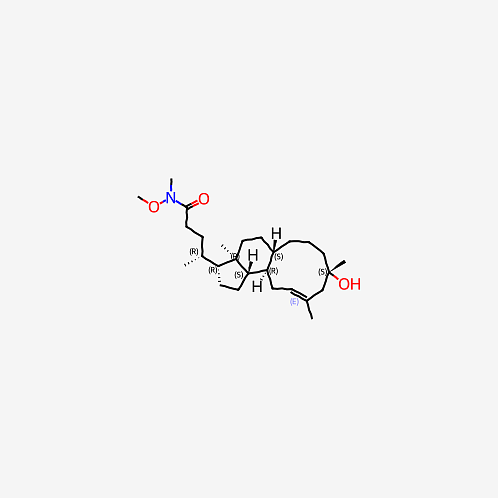 CON(C)C(=O)CC[C@@H](C)[C@H]1CC[C@H]2[C@@H]3C/C=C(\C)C[C@@](C)(O)CCC[C@H]3CC[C@]12C